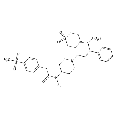 CCN(C(=O)Cc1ccc(S(C)(=O)=O)cc1)C1CCN(CC[C@@H](c2ccccc2)N(C(=O)O)N2CCS(=O)(=O)CC2)CC1